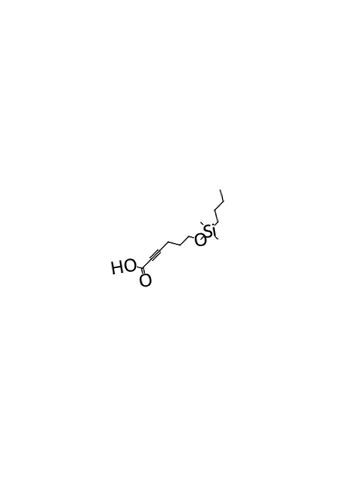 CCCC[Si](C)(C)OCCCC#CC(=O)O